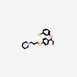 [CH2]CC(Oc1cccc(Cl)c1)c1ccc(OCCCN2CCCCC2)cc1